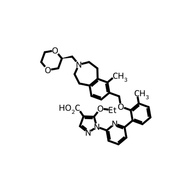 CCOc1c(C(=O)O)cnn1-c1cccc(-c2cccc(C)c2OCc2ccc3c(c2C)CCN(C[C@H]2COCCO2)CC3)n1